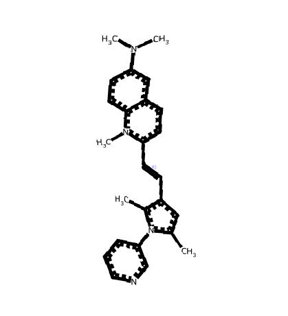 Cc1cc(/C=C/c2ccc3cc(N(C)C)ccc3[n+]2C)c(C)n1-c1cccnc1